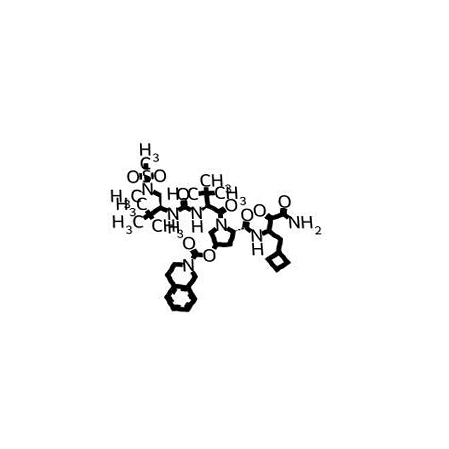 CN(C[C@@H](NC(=O)N[C@H](C(=O)N1CC(OC(=O)N2CCc3ccccc3C2)C[C@H]1C(=O)NC(CC1CCC1)C(=O)C(N)=O)C(C)(C)C)C(C)(C)C)S(C)(=O)=O